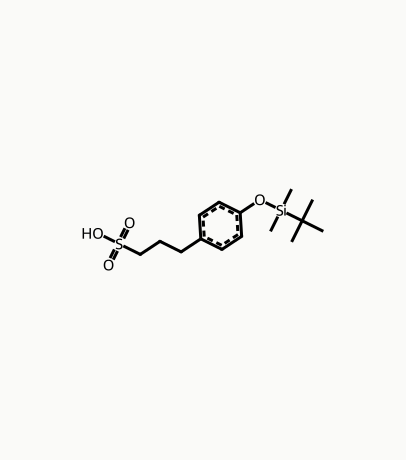 CC(C)(C)[Si](C)(C)Oc1ccc(CCCS(=O)(=O)O)cc1